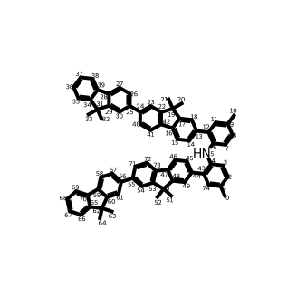 Cc1ccc(Nc2ccc(C)cc2-c2ccc3c(c2)C(C)(C)c2cc(-c4ccc5c(c4)C(C)(C)c4ccccc4-5)ccc2-3)c(-c2ccc3c(c2)C(C)(C)c2cc(-c4ccc5c(c4)C(C)(C)c4ccccc4-5)ccc2-3)c1